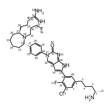 C[C@H](N)CCCc1cc(Cl)c(F)c(-c2cc3cn(-c4ccc([C@@H]5CCCC[C@@H](CCSC(=N)N)N5CCCF)cc4)c(=O)nc3[nH]2)c1